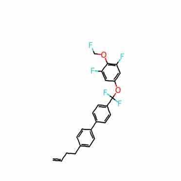 C=CCCc1ccc(-c2ccc(C(F)(F)Oc3cc(F)c(OCF)c(F)c3)cc2)cc1